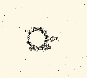 CC[C@H](C)N1CCNC=CN=CC=NC(C)=CN=C(CC(C)C)C(C)=NC2(CCCC2)CN2CCCC2CN[C@@H](CCc2ccc(C(F)(F)F)cc2)CNCC(C)N[C@@H](Cc2ccc(Cl)cc2)C(C)CN2C(C)CCC(C)C2C1